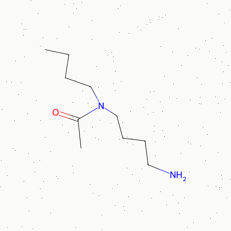 CCCCN(CCCCN)C(C)=O